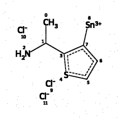 CC(N)c1scc[c]1[Sn+3].[Cl-].[Cl-].[Cl-]